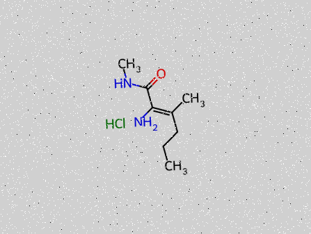 CCCC(C)=C(N)C(=O)NC.Cl